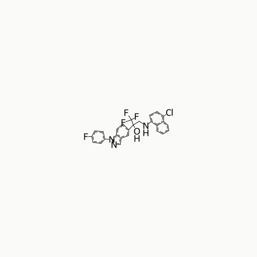 OC(CNc1ccc(Cl)c2ccccc12)(c1ccc2c(cnn2-c2ccc(F)cc2)c1)C(F)(F)F